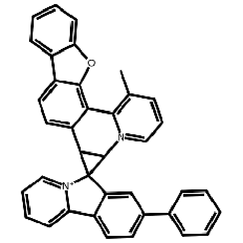 Cc1ccc[n+]2c1-c1c(ccc3c1oc1ccccc13)C1C2C12c1cc(-c3ccccc3)ccc1-c1cccc[n+]12